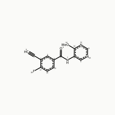 C#Cc1cc(C(=O)Nc2cncnc2OC)ccc1F